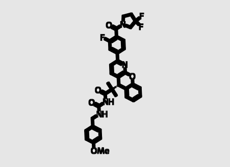 COc1ccc(CNC(=O)NC(=O)C(C)(C)[C@H]2c3ccccc3Oc3nc(-c4ccc(C(=O)N5CCC(F)(F)C5)c(F)c4)ccc32)cc1